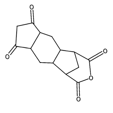 O=C1CC(=O)C2CC3C4CC(C(=O)OC4=O)C3CC12